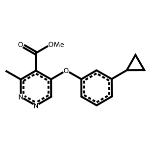 COC(=O)c1c(Oc2cccc(C3CC3)c2)cnnc1C